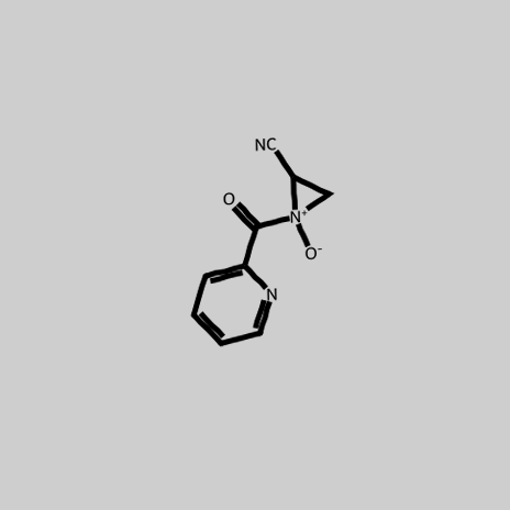 N#CC1C[N+]1([O-])C(=O)c1ccccn1